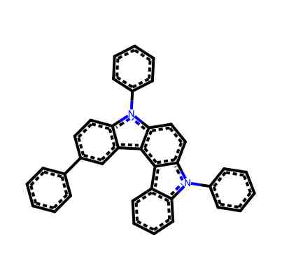 c1ccc(-c2ccc3c(c2)c2c4c5ccccc5n(-c5ccccc5)c4ccc2n3-c2ccccc2)cc1